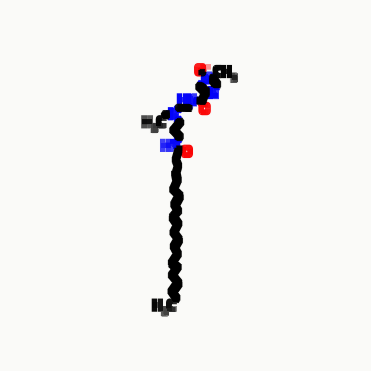 CCC=CCC=CCC=CCC=CCC=CCC=CCCC(=O)NCCCN(CC)CCNC(=O)c1c[n+]([O-])c(C)cn1